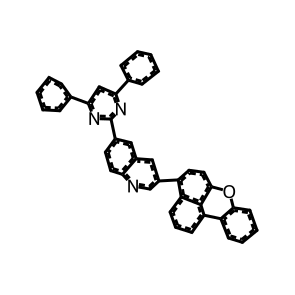 c1ccc(-c2cc(-c3ccccc3)nc(-c3ccc4ncc(-c5ccc6c7c(cccc57)-c5ccccc5O6)cc4c3)n2)cc1